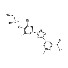 CCc1cc(-c2noc(-c3cc(C)nc(C(CC)CC)c3)n2)cc(C)c1OC[C@H](O)CO